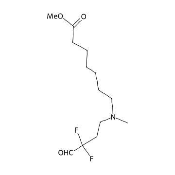 COC(=O)CCCCCCN(C)CCC(F)(F)C=O